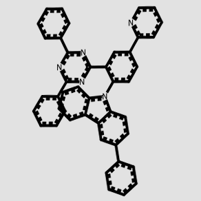 c1ccc(-c2ccc3c(c2)c2ccccc2n3-c2ccc(-c3ccccn3)cc2-c2nc(-c3ccccc3)nc(-c3ccccc3)n2)cc1